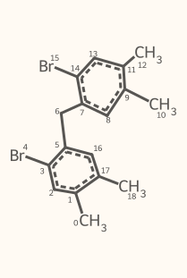 Cc1cc(Br)c(Cc2cc(C)c(C)cc2Br)cc1C